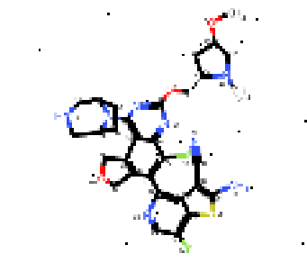 CO[C@@H]1C[C@@H](COc2nc(N3C4CCC3CNC4)c3c4c(c(-c5ncc(F)c6sc(N)c(C#N)c56)c(F)c3n2)COC4)N(C)C1